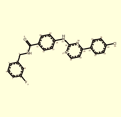 O=C(NCc1cccc(F)c1)c1ccc(Nc2nccc(-c3ccc(Cl)cc3)n2)cc1